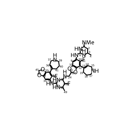 CNC1CC(C)NC(Nc2cc3c(c(C4=CCNCCC4)c2F)OC(CNC2NC(Nc4cc5c(c(C6=CCNCCC6)c4F)OCO5)NC(C)C2F)O3)N1